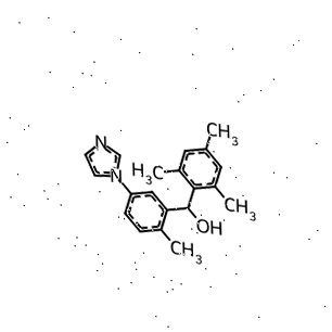 Cc1cc(C)c(C(O)c2cc(-n3ccnc3)ccc2C)c(C)c1